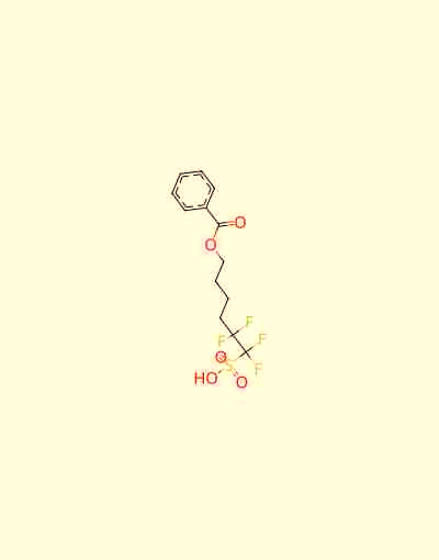 O=C(OCCCCC(F)(F)C(F)(F)S(=O)(=O)O)c1ccccc1